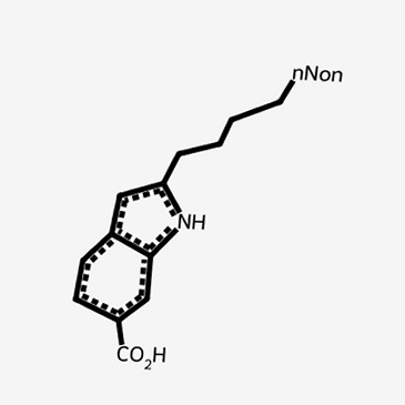 CCCCCCCCCCCCCc1cc2ccc(C(=O)O)cc2[nH]1